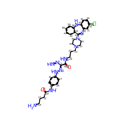 N=N/C(=N\Nc1ccc(NC(=O)CCCN)cc1)C(=O)NCCCN1CCN(C2=Nc3cc(Cl)ccc3Nc3ccccc32)CC1